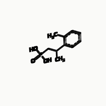 Cc1ccccc1C(C)CP(=O)(O)O